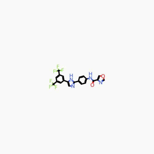 O=C(Nc1ccc(-c2ncc(-c3cc(C(F)(F)F)cc(C(F)(F)F)c3)[nH]2)cc1)c1cocn1